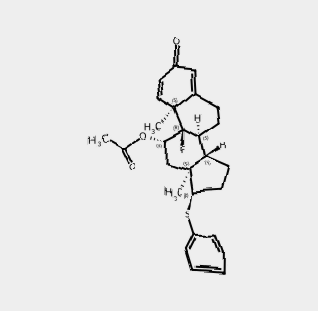 CC(=O)O[C@H]1C[C@]2(C)[C@H](Sc3ccccc3)CC[C@H]2[C@@H]2CCC3=CC(=O)C=C[C@]3(C)[C@@]12F